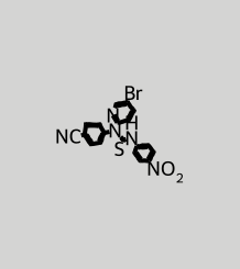 N#Cc1ccc(N(C(=S)Nc2ccc([N+](=O)[O-])cc2)c2ccc(Br)cn2)cc1